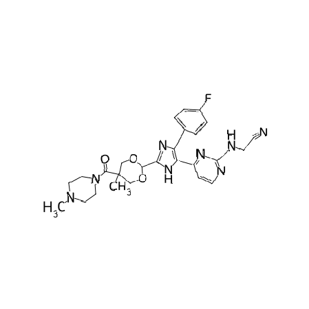 CN1CCN(C(=O)C2(C)COC(c3nc(-c4ccc(F)cc4)c(-c4ccnc(NCC#N)n4)[nH]3)OC2)CC1